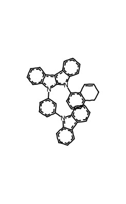 C1=Cc2c(cccc2-n2c3ccccc3c3c4ccccc4n(-c4cccc(-n5c6ccccc6c6ccccc65)c4)c32)CC1